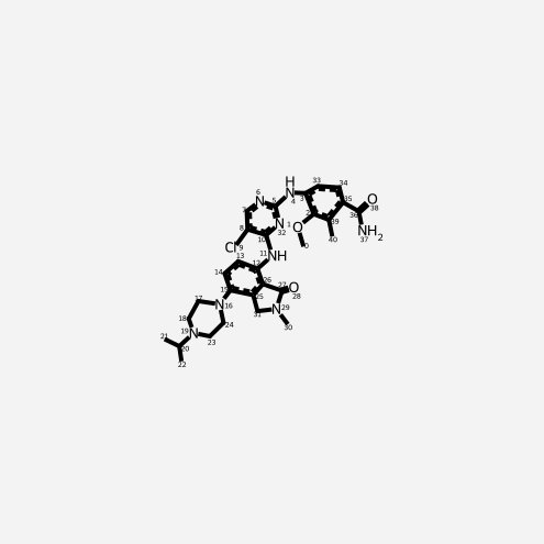 COc1c(Nc2ncc(Cl)c(Nc3ccc(N4CCN(C(C)C)CC4)c4c3C(=O)N(C)C4)n2)ccc(C(N)=O)c1C